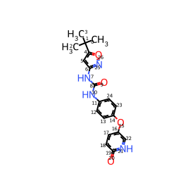 CC(C)(C)c1cc(NC(=O)Nc2ccc(Oc3ccc(=O)[nH]c3)cc2)no1